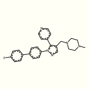 CN1CCN(Cc2cnn(-c3ccc(-c4ccc(F)cc4)cc3)c2-c2ccncc2)CC1